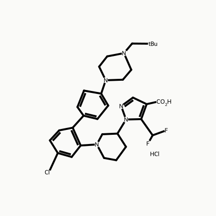 CC(C)(C)CN1CCN(c2ccc(-c3ccc(Cl)cc3N3CCCC(n4ncc(C(=O)O)c4C(F)F)C3)cc2)CC1.Cl